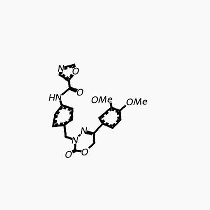 COc1ccc(C2=NN(Cc3ccc(NC(=O)c4cnco4)cc3)C(=O)OC2)cc1OC